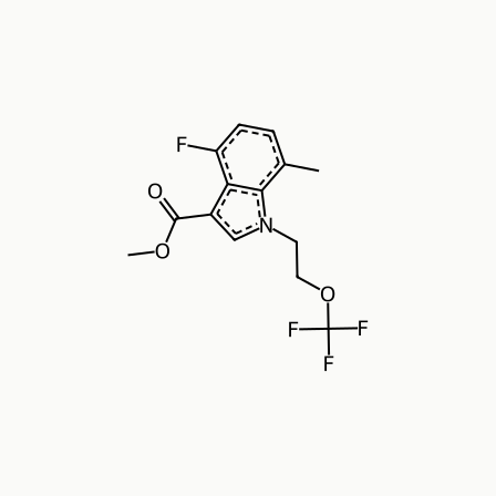 COC(=O)c1cn(CCOC(F)(F)F)c2c(C)ccc(F)c12